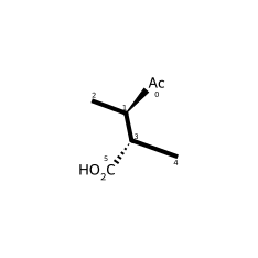 CC(=O)[C@H](C)[C@H](C)C(=O)O